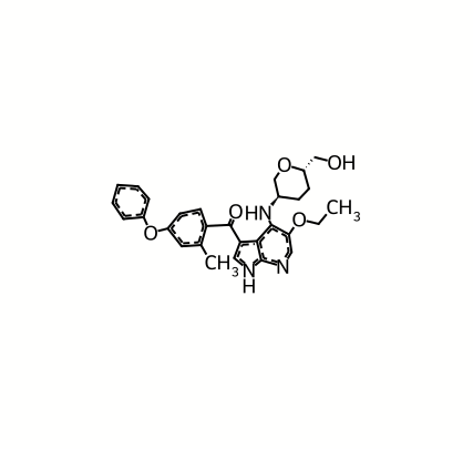 CCOc1cnc2[nH]cc(C(=O)c3ccc(Oc4ccccc4)cc3C)c2c1N[C@@H]1CC[C@@H](CO)OC1